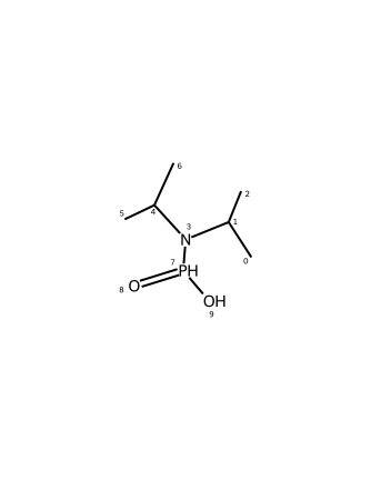 CC(C)N(C(C)C)[PH](=O)O